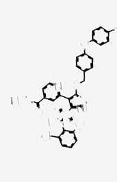 NC(=O)c1ccnc(-c2c(SCc3ccc(Oc4ccc(F)cc4)cc3)n[nH]c2S(=O)(=O)Nc2c(Cl)cccc2Cl)c1